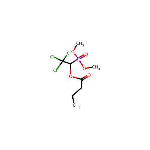 CCCC(=O)OC(C(Cl)(Cl)Cl)P(=O)(OC)OC